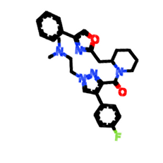 CN(C)CCn1cc(-c2ccc(F)cc2)c(C(=O)N2CCCCC2Cc2nc(-c3ccccc3)co2)n1